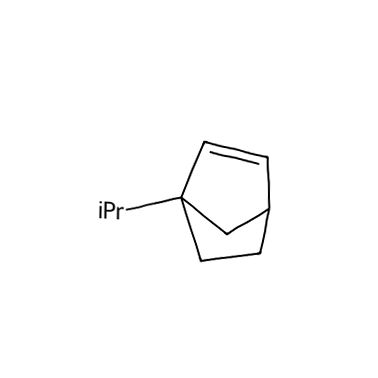 [CH2]C(C)C12C=CC(CC1)C2